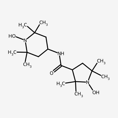 CC1(C)CC(NC(=O)C2CC(C)(C)N(O)C2(C)C)CC(C)(C)N1O